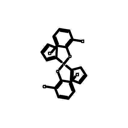 Clc1cccc(Cl)c1[O][Zr]([O]c1c(Cl)cccc1Cl)([C]1=CC=CC1)[C]1=CC=CC1